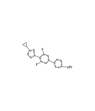 CCCc1ccc(-c2cc(F)c(-c3ccc(C4CC4)s3)c(F)c2)cc1